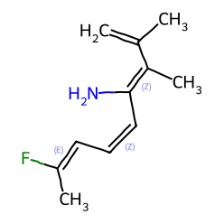 C=C(C)/C(C)=C(N)/C=C\C=C(/C)F